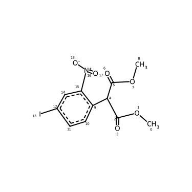 COC(=O)C(C(=O)OC)c1ccc(I)cc1[N+](=O)[O-]